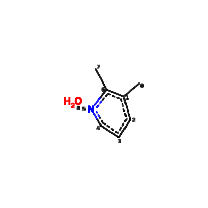 Cc1cccnc1C.O